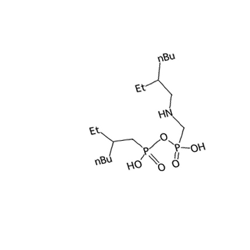 CCCCC(CC)CNCP(=O)(O)OP(=O)(O)CC(CC)CCCC